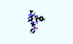 Cc1nc2nn(C3CC3)c(N(C)c3nc(-c4ccc(F)cc4)c(C#N)s3)c2cc1N1CC2(CN(C(=O)N3CCOCC3)C2)C1